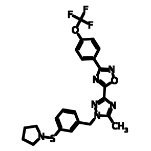 Cc1nc(-c2nc(-c3ccc(OC(F)(F)F)cc3)no2)nn1Cc1cccc(SN2CCCC2)c1